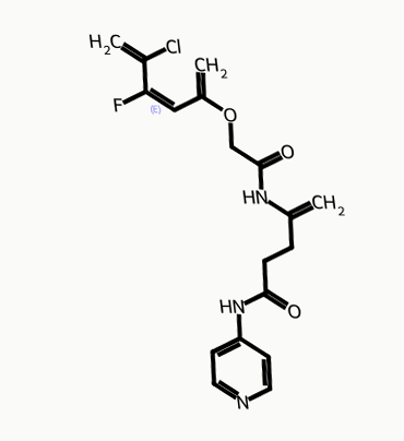 C=C(CCC(=O)Nc1ccncc1)NC(=O)COC(=C)/C=C(/F)C(=C)Cl